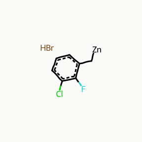 Br.Fc1c(Cl)cccc1[CH2][Zn]